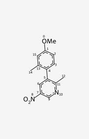 COc1ccc(-c2cc([N+](=O)[O-])cnc2C)c(C)c1